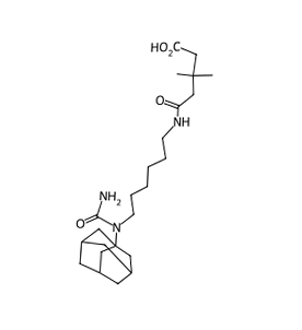 CC(C)(CC(=O)O)CC(=O)NCCCCCCN(C(N)=O)C12CC3CC(CC(C3)C1)C2